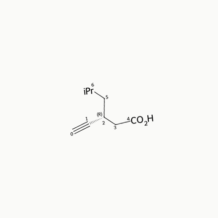 C#C[C@@H](CC(=O)O)CC(C)C